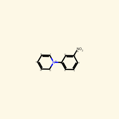 O=[N+]([O-])c1cccc(N2C=CC=CC2)c1